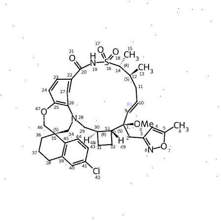 CO[C@]1(Cc2cc(C)on2)/C=C/C[C@H](C)[C@@H](C)S(=O)(=O)NC(=O)c2ccc3c(c2)N(C[C@@H]2CC[C@H]21)C[C@@]1(CCCc2cc(Cl)ccc21)CO3